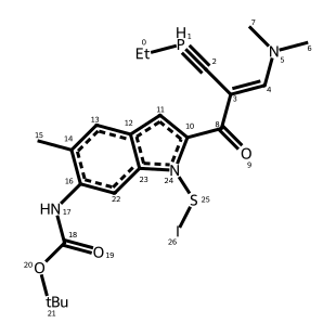 CC[PH]#C/C(=C\N(C)C)C(=O)c1cc2cc(C)c(NC(=O)OC(C)(C)C)cc2n1SI